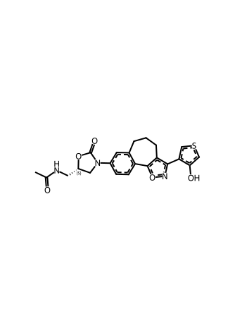 CC(=O)NC[C@H]1CN(c2ccc3c(c2)CCCc2c(-c4cscc4O)noc2-3)C(=O)O1